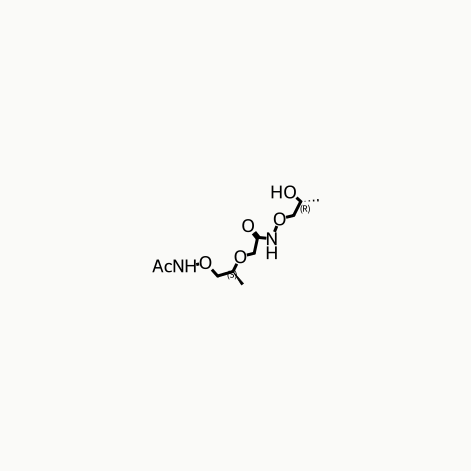 CC(=O)NOC[C@H](C)OCC(=O)NOC[C@@H](C)O